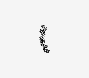 c1cc(-c2ccc3sc4nc(-c5cccc(-c6cccc7c6sc6ccc8ccccc8c67)c5)cnc4c3c2)cc(-c2cccc3c2sc2ccc4ccccc4c23)c1